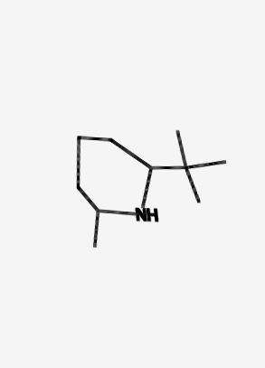 CC1CCCC(C(C)(C)C)N1